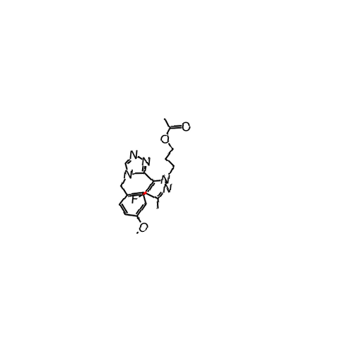 COc1ccc(Cn2cnnc2-c2c(F)c(C)nn2CCCOC(C)=O)cc1